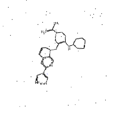 C=C(C)N1CCC(NC2CCCCC2)=C(CC2CC=Cc3cc(/C(C=N)=C/NC)ncc32)C1